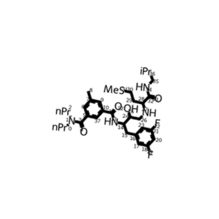 CCCN(CCC)C(=O)c1cc(C)cc(C(=O)NC(Cc2cc(F)cc(F)c2)C(O)CNC(CCSC)C(=O)NCC(C)C)c1